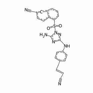 N#C/C=C/c1ccc(Nc2nc(N)n(S(=O)(=O)c3cccc4cc(C#N)ccc34)n2)cc1